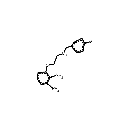 Nc1cccc(OCCNCc2ccc(F)cc2)c1N